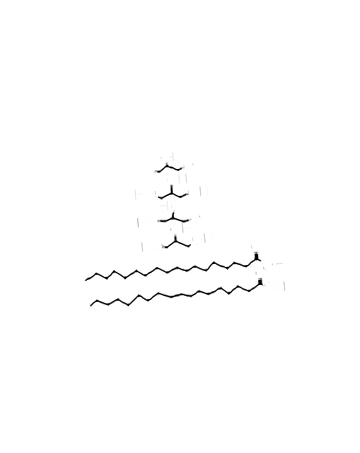 CCCCCCCCCCCCCCCCCC(=O)O.CCCCCCCCCCCCCCCCCC(=O)O.OCC(O)CO.OCC(O)CO.OCC(O)CO.OCC(O)CO